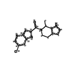 CC1c2[nH]ccc2CCN1C(=O)c1cc2ncc(Cl)cn2n1